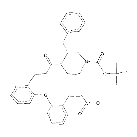 CC(C)(C)OC(=O)N1CCN(C(=O)CCc2ccccc2Oc2ccccc2C=C[N+](=O)[O-])[C@H](Cc2ccccc2)C1